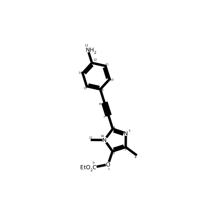 CCOC(=O)Oc1c(C)nc(C#Cc2ccc(N)cc2)n1C